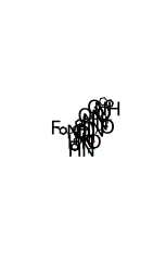 CNC(C)C(=O)NC(C(=O)N1Cc2ccccc2CC1C(=O)N(Cc1ccc(C(=O)N[C@H]2C[C@@H](C(=O)N[C@@H]3CCCc4ccccc43)N(C(=O)C(NC(=O)C(C)NC)C(C)(C)C)C2)cc1)[C@H](C)c1ccc(F)cc1)C(C)(C)C